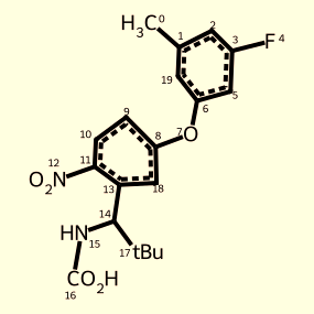 Cc1cc(F)cc(Oc2ccc([N+](=O)[O-])c(C(NC(=O)O)C(C)(C)C)c2)c1